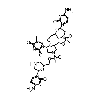 Cc1cn(C2CN(P(C)(=O)OCC3CNCC(n4ccc(N)nc4=O)O3)CC(COP(C)(=O)N3CC(CO)OC(n4ccc(N)nc4=O)C3)O2)c(=O)[nH]c1=O